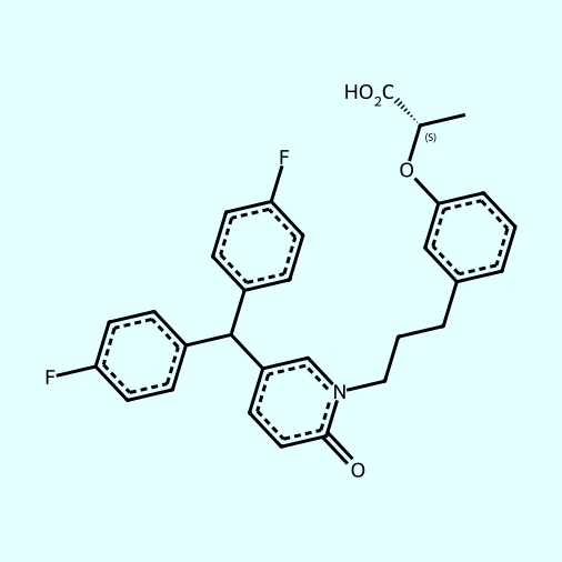 C[C@H](Oc1cccc(CCCn2cc(C(c3ccc(F)cc3)c3ccc(F)cc3)ccc2=O)c1)C(=O)O